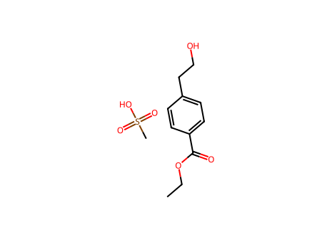 CCOC(=O)c1ccc(CCO)cc1.CS(=O)(=O)O